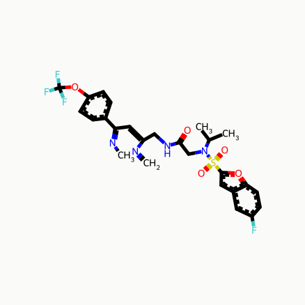 C=N/C(=C\C(=N/C)c1ccc(OC(F)(F)F)cc1)CNC(=O)CN(C(C)C)S(=O)(=O)c1cc2cc(F)ccc2o1